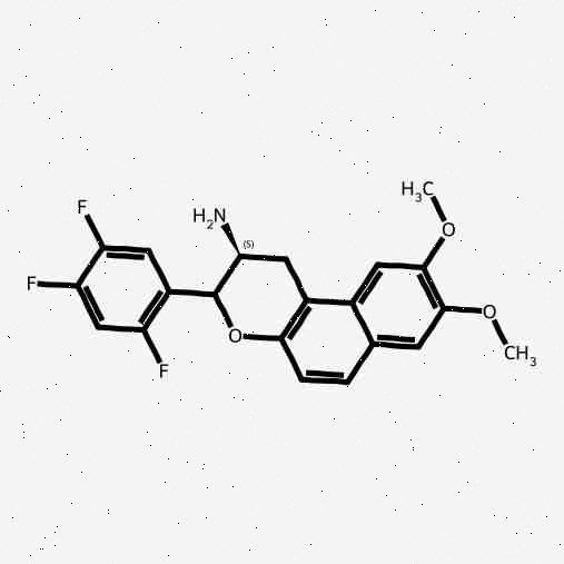 COc1cc2ccc3c(c2cc1OC)C[C@H](N)C(c1cc(F)c(F)cc1F)O3